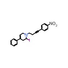 O=[N+]([O-])c1ccc(C#CCCN2CC=C(c3ccccc3)CC2I)cc1